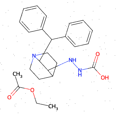 CCOC(C)=O.O=C(O)NNC1C2CCN(CC2)C1C(c1ccccc1)c1ccccc1